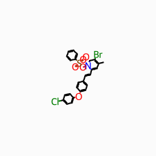 Cc1cc(C=Cc2ccc(Oc3ccc(Cl)cc3)cc2)n(OS(=O)(=O)c2ccccc2)c(=O)c1Br